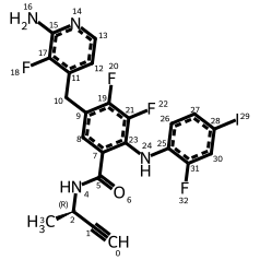 C#C[C@@H](C)NC(=O)c1cc(Cc2ccnc(N)c2F)c(F)c(F)c1Nc1ccc(I)cc1F